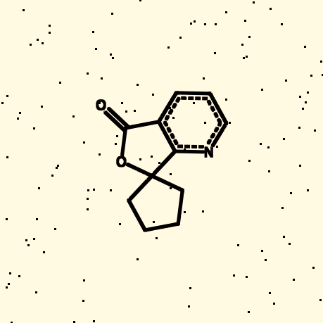 O=C1OC2(CCCC2)c2ncccc21